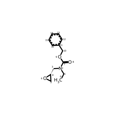 CCN(C[C@@H]1CO1)C(=O)OCc1ccccc1